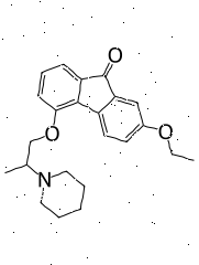 CCOc1ccc2c(c1)C(=O)c1cccc(OCC(C)N3CCCCC3)c1-2